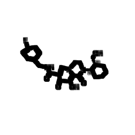 O=C(NCc1ccc(F)cc1)c1cn2c(c(O)c1=O)C(=O)N([C@H]1CCCC[C@H]1CO)CC2